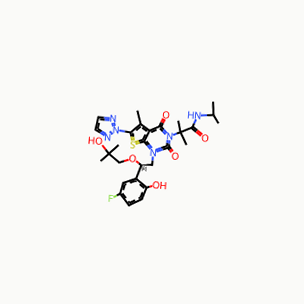 Cc1c(-n2nccn2)sc2c1c(=O)n(C(C)(C)C(=O)NC(C)C)c(=O)n2C[C@H](OCC(C)(C)O)c1cc(F)ccc1O